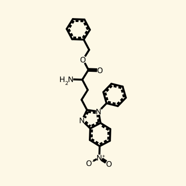 NC(CCc1nc2cc([N+](=O)[O-])ccc2n1-c1ccccc1)C(=O)OCc1ccccc1